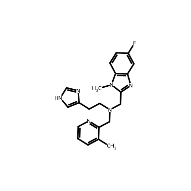 Cc1cccnc1CN(CCc1c[nH]cn1)Cc1nc2cc(F)ccc2n1C